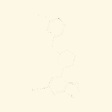 Cc1cc(C2CCCN(Cc3cccc(P)c3)C2)n2ncnc2n1